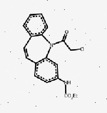 CCOC(=O)Nc1ccc2c(c1)N(C(=O)CCl)c1ccccc1C=C2